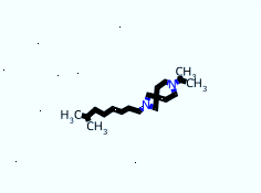 CC(C)CCCCCCN1CC2(CCN(C(C)C)CC2)C1